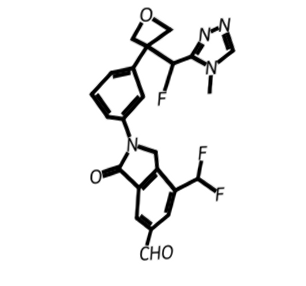 Cn1cnnc1C(F)C1(c2cccc(N3Cc4c(cc(C=O)cc4C(F)F)C3=O)c2)COC1